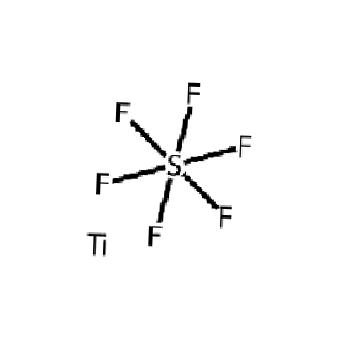 FS(F)(F)(F)(F)F.[Ti]